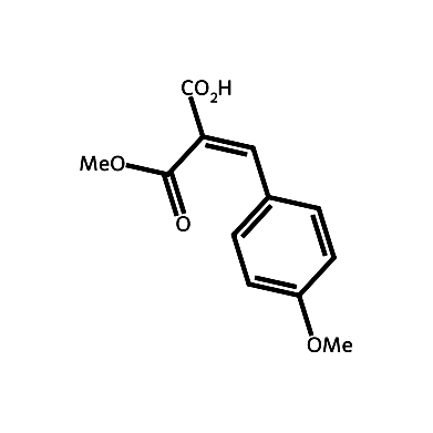 COC(=O)/C(=C\c1ccc(OC)cc1)C(=O)O